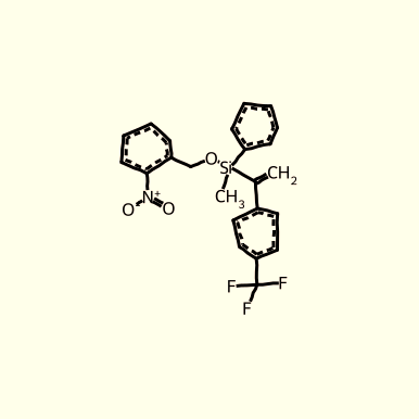 C=C(c1ccc(C(F)(F)F)cc1)[Si](C)(OCc1ccccc1[N+](=O)[O-])c1ccccc1